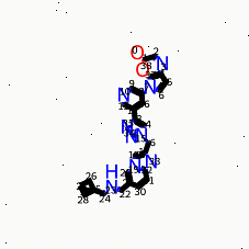 O=c1cnc2ccn(-c3cncc(-c4cn(Cc5cn6cc(CNCC78CC(C7)C8)ccc6n5)nn4)c3)c2o1